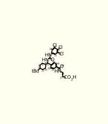 CC(C)(C)C1CCC(C(NC(=O)Nc2cc(Cl)c(Cl)c(Cl)c2)c2ccc(C(=O)NCCC(=O)O)cc2)CC1